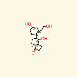 C[C@]12CCC([C@@]3(C)CC[C@H](O)C[C@@H]3CCO)[C@@H](O)C1CCC2=O